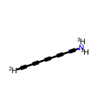 [2H]C#CC#CC#CC#CC#CN([3H])[3H]